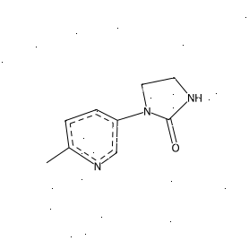 Cc1ccc(N2CCNC2=O)cn1